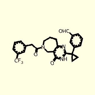 O=Cc1cccc(C2(c3nc4c(c(=O)[nH]3)CN(C(=O)Cc3cccc(C(F)(F)F)c3)CCC4)CC2)c1